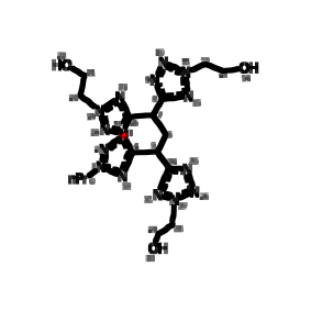 CCCn1nnc(C(CC(c2nnn(CCO)n2)c2nnn(CCO)n2)c2nnn(CCO)n2)n1